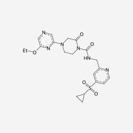 CCOc1cncc(N2CCN(C(=O)NCc3cc(S(=O)(=O)C4CC4)ccn3)C(=O)C2)n1